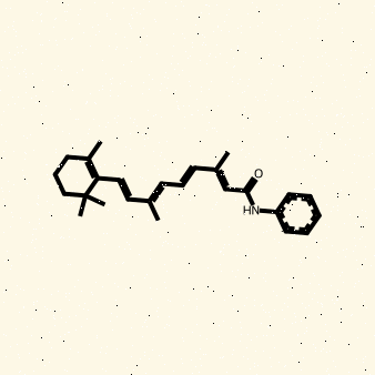 CC(C=CC1=C(C)CCCC1(C)C)=CC=CC(C)=CC(=O)Nc1[c]cccc1